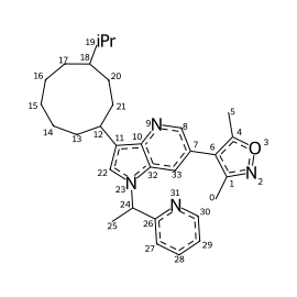 Cc1noc(C)c1-c1cnc2c(C3CCCCCC(C(C)C)CC3)cn(C(C)c3ccccn3)c2c1